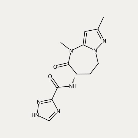 Cc1cc2n(n1)CC[C@H](NC(=O)c1nc[nH]n1)C(=O)N2C